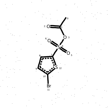 CC(=O)OS(=O)(=O)c1ccc(Br)s1